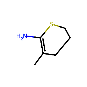 CC1=C(N)SCCC1